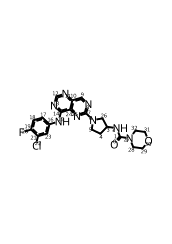 O=C(NC1CCN(c2ncc3ncnc(Nc4ccc(F)c(Cl)c4)c3n2)C1)N1CCOCC1